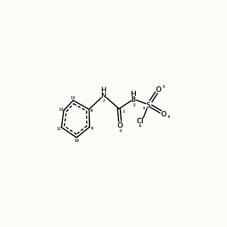 O=C(BS(=O)(=O)Cl)Nc1ccccc1